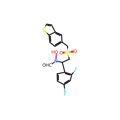 O=CN(O)C(CS(=O)(=O)Cc1ccc2sccc2c1)c1ccc(F)cc1F